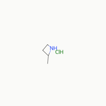 CC1CCN1.Cl